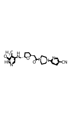 Cc1c(NC[C@@H]2CC[C@@H](CC(=O)N3CCN(c4ccc(C#N)cn4)CC3)O2)cn[nH]c1=O